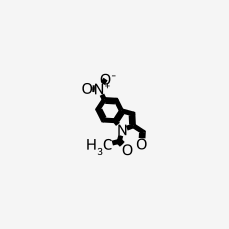 CC(=O)n1c(C=O)cc2cc([N+](=O)[O-])ccc21